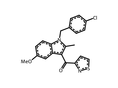 COc1ccc2c(c1)c(C(=O)c1ccsn1)c(C)n2Cc1ccc(Cl)cc1